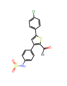 CCC(=O)c1sc(-c2ccc(Cl)cc2)cc1-c1ccc(N[SH](=O)=O)cc1